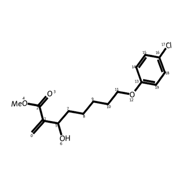 C=C(C(=O)OC)C(O)CCCCCOc1ccc(Cl)cc1